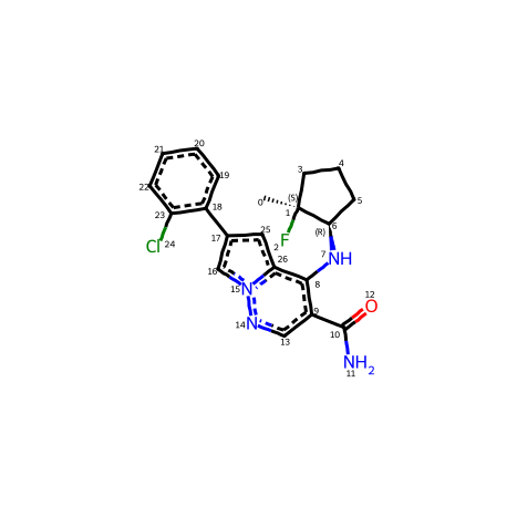 C[C@]1(F)CCC[C@H]1Nc1c(C(N)=O)cnn2cc(-c3ccccc3Cl)cc12